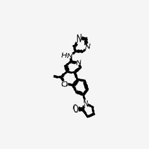 CC1Oc2cc(N3CCCC3=O)ccc2-c2cnc(Nc3cncnc3)cc21